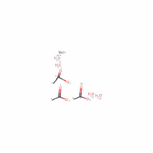 CC(=O)[O-].CC(=O)[O-].CC(=O)[O-].O.O.O.O.[Mn+3]